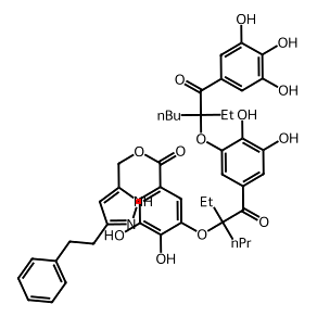 CCCCC(CC)(Oc1cc(C(=O)C(CC)(CCC)Oc2cc(C(=O)OCc3cc(CCc4ccccc4)n[nH]3)cc(O)c2O)cc(O)c1O)C(=O)c1cc(O)c(O)c(O)c1